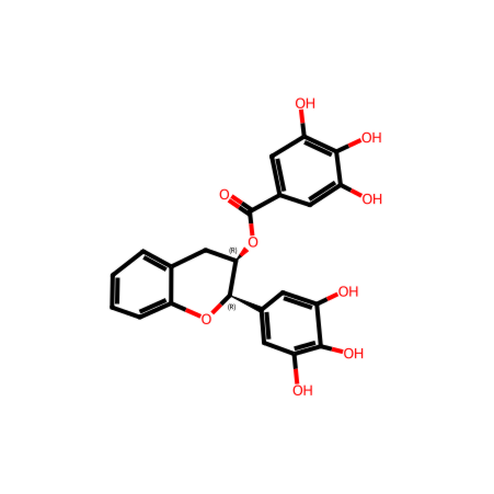 O=C(O[C@@H]1Cc2ccccc2O[C@@H]1c1cc(O)c(O)c(O)c1)c1cc(O)c(O)c(O)c1